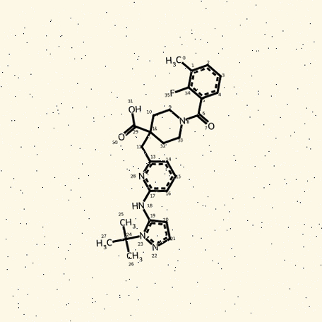 Cc1cccc(C(=O)N2CCC(Cc3cccc(Nc4ccnn4C(C)(C)C)n3)(C(=O)O)CC2)c1F